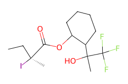 CC[C@](C)(I)C(=O)OC1CCCCC1C(C)(O)C(F)(F)F